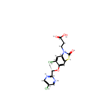 C[C@H](Oc1cc2sc(=O)n(CCC(=O)O)c2cc1Cl)c1ncc(Cl)cn1